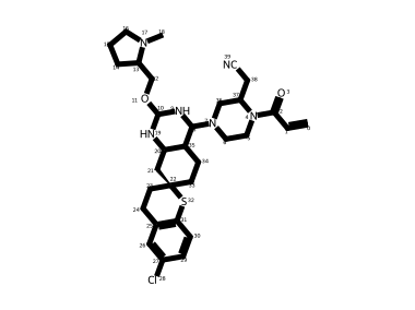 C=CC(=O)N1CCN(C2NC(OCC3CCCN3C)NC3C[C@@]4(CCc5cc(Cl)ccc5S4)CCC32)CC1CC#N